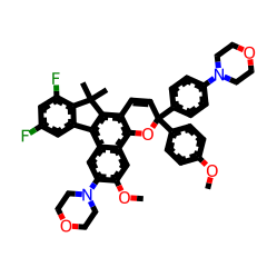 COc1ccc(C2(c3ccc(N4CCOCC4)cc3)C=Cc3c4c(c5cc(N6CCOCC6)c(OC)cc5c3O2)-c2cc(F)cc(F)c2C4(C)C)cc1